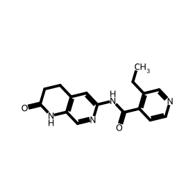 CCc1cnccc1C(=O)Nc1cc2c(cn1)NC(=O)CC2